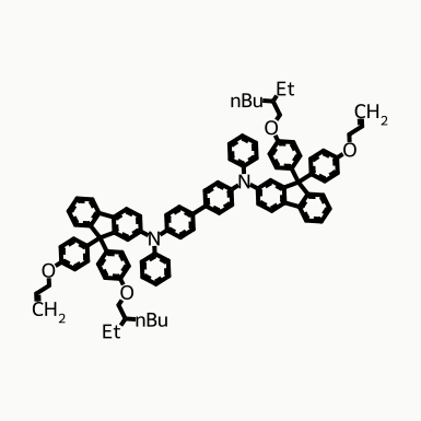 C=CCOc1ccc(C2(c3ccc(OCC(CC)CCCC)cc3)c3ccccc3-c3ccc(N(c4ccccc4)c4ccc(-c5ccc(N(c6ccccc6)c6ccc7c(c6)C(c6ccc(OCC=C)cc6)(c6ccc(OCC(CC)CCCC)cc6)c6ccccc6-7)cc5)cc4)cc32)cc1